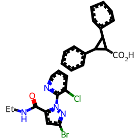 CCNC(=O)c1cc(Br)nn1-c1ncccc1Cl.O=C(O)C1C(c2ccccc2)C1c1ccccc1